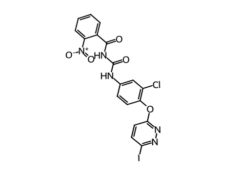 O=C(NC(=O)c1ccccc1[N+](=O)[O-])Nc1ccc(Oc2ccc(I)nn2)c(Cl)c1